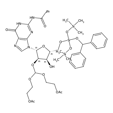 CC(=O)OCCOC(OCCOC(C)=O)O[C@@H]1[C@H](O)[C@@H](CO[Si](OC(c2ccccc2)c2ccccc2)(O[Si](C)(C)C)O[Si](C)(C)C)O[C@H]1n1cnc2c(=O)[nH]c(NC(=O)C(C)C)nc21